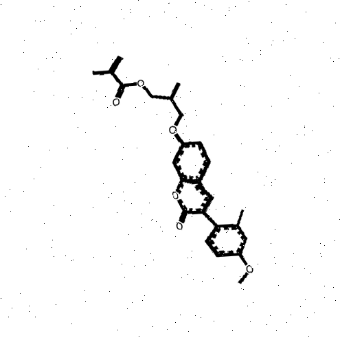 C=C(C)C(=O)OCC(C)COc1ccc2cc(-c3ccc(OC)cc3C)c(=O)oc2c1